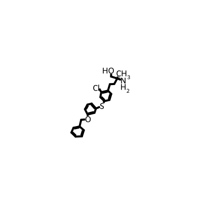 C[C@](N)(CO)CCc1ccc(Sc2cccc(OCc3ccccc3)c2)cc1Cl